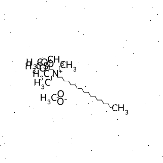 CC(=O)[O-].CCCCCCCCCCCCCCCCCC[N+](CCC)(CCC)CC(C)[Si](OC)(OC)OC